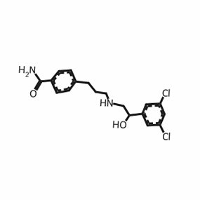 NC(=O)c1ccc(CCCNCC(O)c2cc(Cl)cc(Cl)c2)cc1